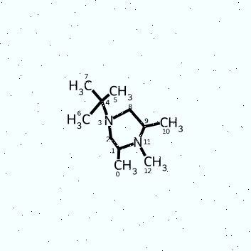 CC1CN(C(C)(C)C)CC(C)N1C